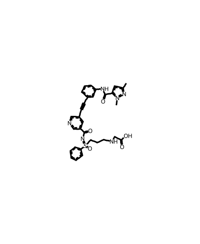 Cc1cc(C(=O)Nc2cccc(C#Cc3cncc(C(=O)N=S(=O)(CCCNCC(=O)O)c4ccccc4)c3)c2)n(C)n1